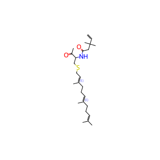 C=CC(C)(C)CC(=O)NC(CSC/C=C(\C)CC/C=C(\C)CCC=C(C)C)C(C)=O